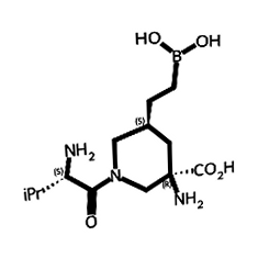 CC(C)[C@H](N)C(=O)N1C[C@@H](CCB(O)O)C[C@](N)(C(=O)O)C1